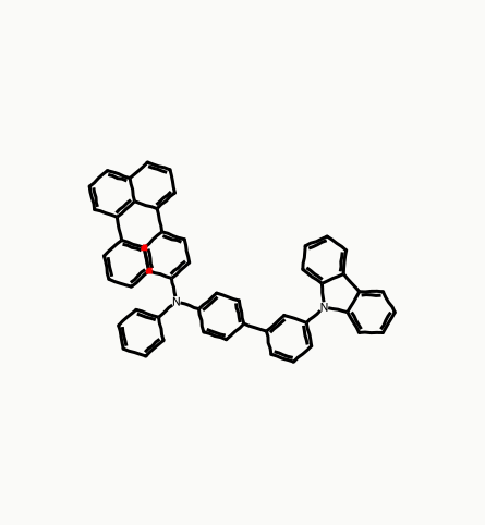 c1ccc(-c2cccc3cccc(-c4ccc(N(c5ccccc5)c5ccc(-c6cccc(-n7c8ccccc8c8ccccc87)c6)cc5)cc4)c23)cc1